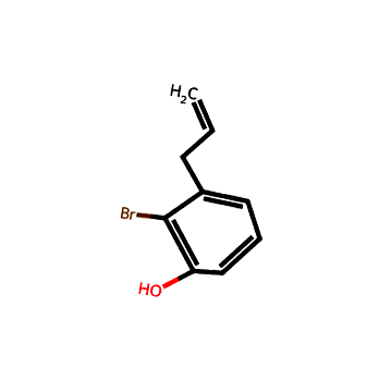 C=CCc1cccc(O)c1Br